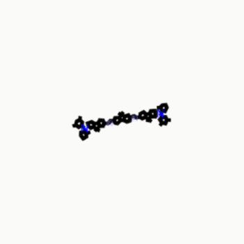 Cc1cc(C)cc(N(c2ccc3c(c2)C(C)(C)C2=CC(/C=C/c4ccc5c(c4)C(C)(C)c4cc(/C=C/c6ccc7c(c6)C(C)(C)c6cc(N(c8cc(C)cc(C)c8)c8ccccc8C)ccc6-7)ccc4-5)CC=C23)c2ccccc2C)c1